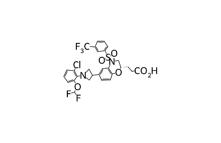 O=C(O)CC[C@H]1CN(S(=O)(=O)c2cccc(C(F)(F)F)c2)c2cc(C3CN(c4c(Cl)cccc4OC(F)F)C3)ccc2O1